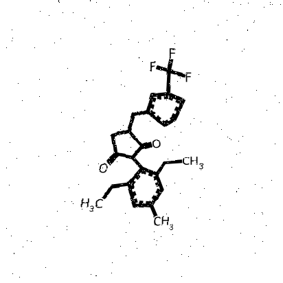 CCc1cc(C)cc(CC)c1C1C(=O)CC(Cc2cccc(C(F)(F)F)c2)C1=O